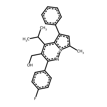 Cc1cc(-c2ccccc2)c2c(C(C)C)c(CO)c(-c3ccc(F)cc3)nn12